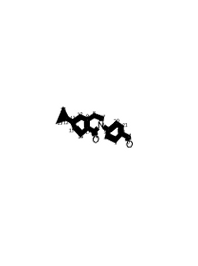 O=Cc1ccc(N2CCc3cc(C4CC4)ccc3C2=O)cc1